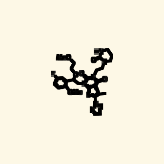 COCCOC(Cn1c(=O)n(CCN2CCCNC2=O)c(=O)c2c(C)c(-n3nccn3)sc21)c1cc(F)ccc1OC